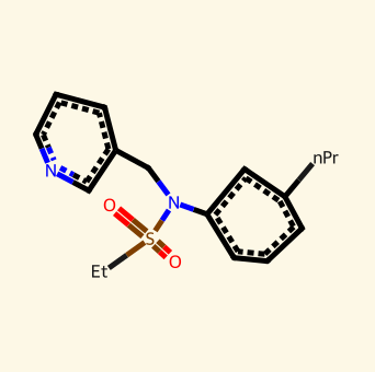 CCCc1cccc(N(Cc2cccnc2)S(=O)(=O)CC)c1